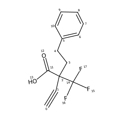 C#CC(CCc1ccccc1)(C(=O)O)C(F)(F)F